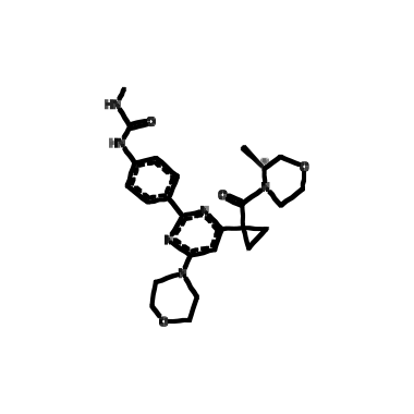 CNC(=O)Nc1ccc(-c2nc(N3CCOCC3)cc(C3(C(=O)N4CCOC[C@@H]4C)CC3)n2)cc1